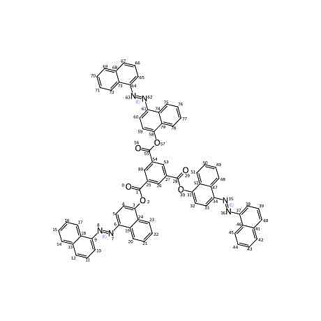 O=C(Oc1ccc(/N=N/c2cccc3ccccc23)c2ccccc12)c1cc(C(=O)Oc2ccc(/N=N/c3cccc4ccccc34)c3ccccc23)cc(C(=O)Oc2ccc(/N=N/c3cccc4ccccc34)c3ccccc23)c1